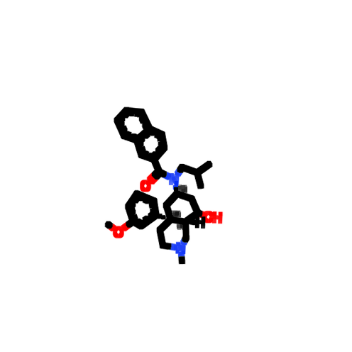 COc1cccc([C@@]23CCN(C)C[C@H]2C(O)C[C@@H](N(CC(C)C)C(=O)c2ccc4ccccc4c2)C3)c1